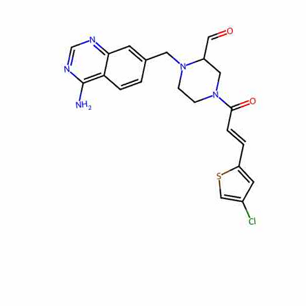 Nc1ncnc2cc(CN3CCN(C(=O)/C=C/c4cc(Cl)cs4)CC3C=O)ccc12